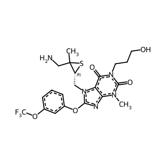 Cn1c(=O)n(CCCO)c(=O)c2c1nc(Oc1cccc(OC(F)(F)F)c1)n2C[C@H]1SC1(C)CN